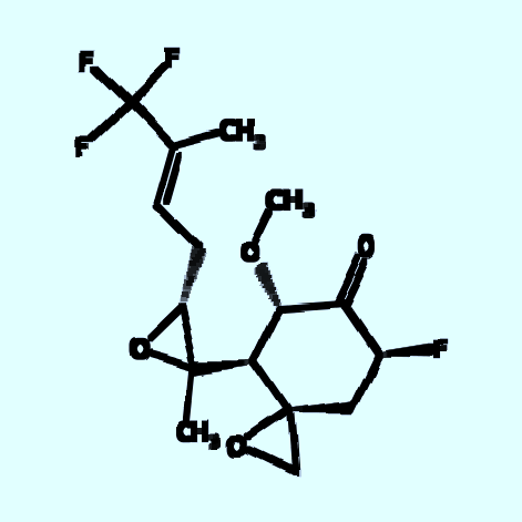 CO[C@@H]1C(=O)[C@@H](F)C[C@]2(CO2)[C@H]1C1(C)O[C@@H]1C/C=C(\C)C(F)(F)F